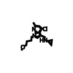 COCCCCn1cc(CNC2CC2)c2c(Cl)cc(C)nc21